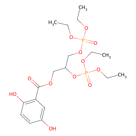 CCOP(=O)(OCC)OCC(COC(=O)c1cc(O)ccc1O)OP(=O)(OCC)OCC